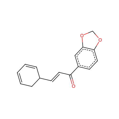 O=C(C=CC1C=CC=CC1)c1ccc2c(c1)OCO2